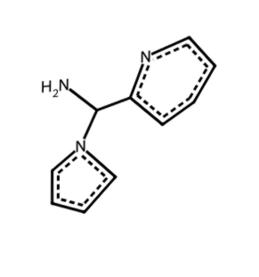 NC(c1ccccn1)n1cccc1